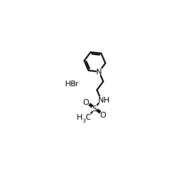 Br.CS(=O)(=O)NCCN1C=CC=CC1